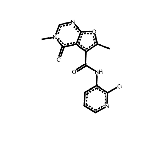 Cc1oc2ncn(C)c(=O)c2c1C(=O)Nc1cccnc1Cl